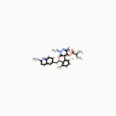 Cc1ccc2cc(CCc3c(Cl)ccc(F)c3-c3c(OC(=O)C(C)C)c(C)nn(C)c3=O)ccc2n1